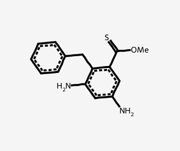 COC(=S)c1cc(N)cc(N)c1Cc1ccccc1